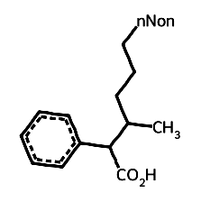 CCCCCCCCCCCCC(C)C(C(=O)O)c1ccccc1